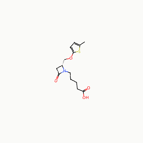 Cc1ccc(OC[C@H]2CC(=O)N2CCCCC(=O)O)s1